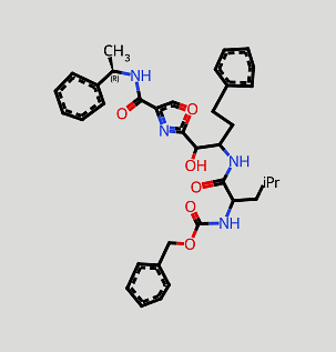 CC(C)CC(NC(=O)OCc1ccccc1)C(=O)NC(CCc1ccccc1)C(O)c1nc(C(=O)N[C@H](C)c2ccccc2)co1